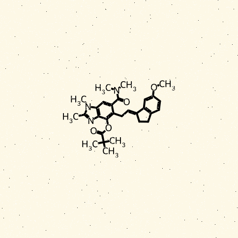 COc1ccc2c(c1)C(=CCc1c(C(=O)N(C)C)cc3c(nc(C)n3C)c1OC(=O)C(C)(C)C)CC2